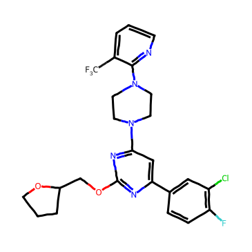 Fc1ccc(-c2cc(N3CCN(c4ncccc4C(F)(F)F)CC3)nc(OCC3CCCO3)n2)cc1Cl